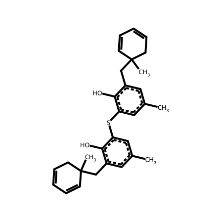 Cc1cc(CC2(C)C=CC=CC2)c(O)c(Sc2cc(C)cc(CC3(C)C=CC=CC3)c2O)c1